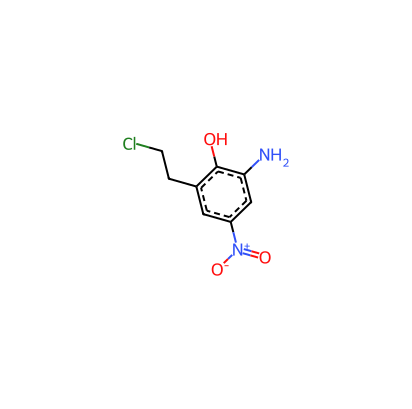 Nc1cc([N+](=O)[O-])cc(CCCl)c1O